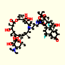 CC[C@H]1OC(=O)[C@H](C)[C@@H](O)[C@H](C)[C@@H](O[C@@H]2O[C@H](C)C[C@@H](N(C)C)[C@H]2O)[C@](C)(O)C[C@@H](C)CN(CCCNC(=O)[C@@]23OC(C)(C)O[C@@H]2CC2C4C[C@H](F)C5=CC(=O)C=C[C@]5(C)[C@@]4(F)[C@@H](O)C[C@@]23C)[C@H](C)[C@@H](O)[C@]1(C)O